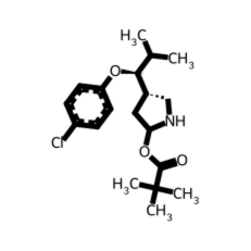 CC(C)[C@H](Oc1ccc(Cl)cc1)[C@@H]1CNC(OC(=O)C(C)(C)C)C1